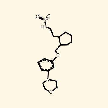 O=[SH](=O)NCCC1CCCCC1COc1cccc(N2CCOCC2)c1